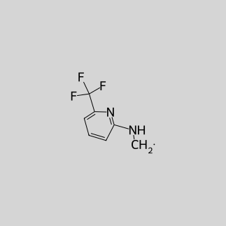 [CH2]Nc1cccc(C(F)(F)F)n1